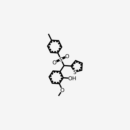 COc1cccc(C(c2cccs2)S(=O)(=O)c2ccc(C)cc2)c1O